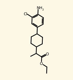 CCOC(=O)C(C)C1CCC(c2ccc(N)c(Cl)c2)CC1